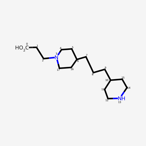 O=C(O)CCN1CCC(CCCC2CCNCC2)CC1